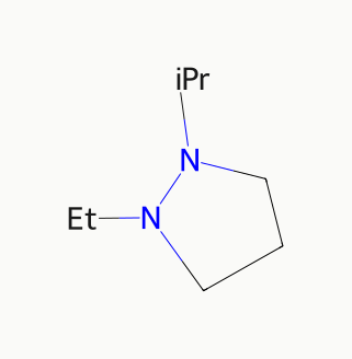 CCN1CCCN1C(C)C